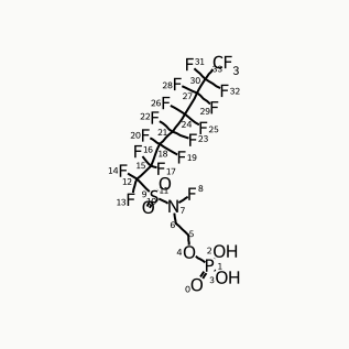 O=P(O)(O)OCCN(F)S(=O)(=O)C(F)(F)C(F)(F)C(F)(F)C(F)(F)C(F)(F)C(F)(F)C(F)(F)C(F)(F)F